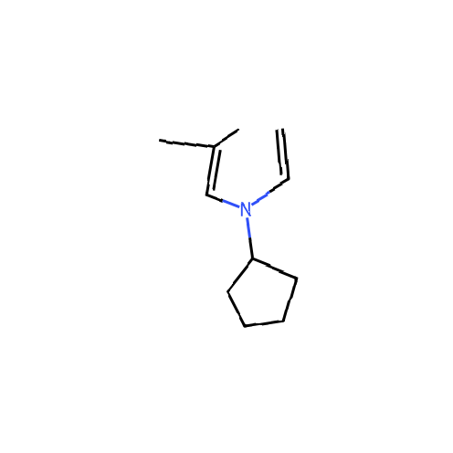 C=CN(C=C(C)C)C1CCCC1